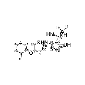 Cc1ccccc1Oc1ccc(Nc2snc(O)c2C(=N)NC(C)C)cc1